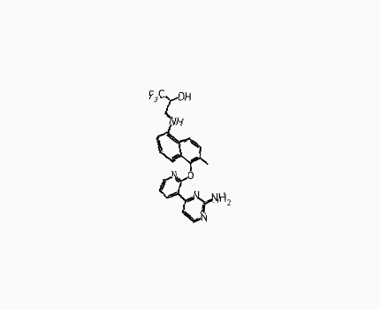 Cc1ccc2c(NC[C@H](O)C(F)(F)F)cccc2c1Oc1ncccc1-c1ccnc(N)n1